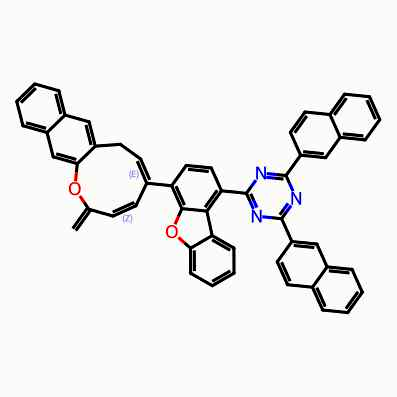 C=C1/C=C\C(c2ccc(-c3nc(-c4ccc5ccccc5c4)nc(-c4ccc5ccccc5c4)n3)c3c2oc2ccccc23)=C/Cc2cc3ccccc3cc2O1